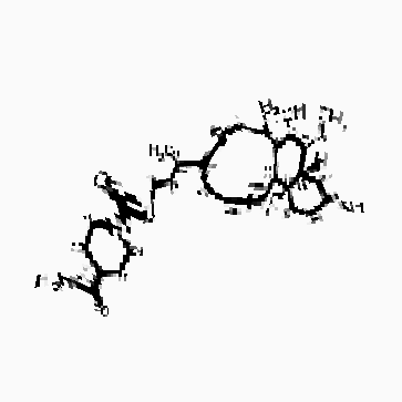 CC[C@H]1[C@@H](O)C2C(C)CCC([C@H](C)CCOC(=O)N3CCC(C(N)=O)CC3)CCCC2[C@@]2(C)CC[C@@H](O)C[C@@H]12